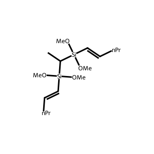 CCCC=C[Si](OC)(OC)C(C)[Si](C=CCCC)(OC)OC